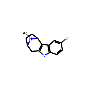 CC(=O)N1C2CCC1c1c([nH]c3ccc(Br)cc13)C2